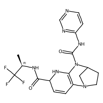 C[C@@H](NC(=O)C1C=CC2=C(N1)N(C(=O)Nc1ccncn1)C1CCN2C1)C(F)(F)F